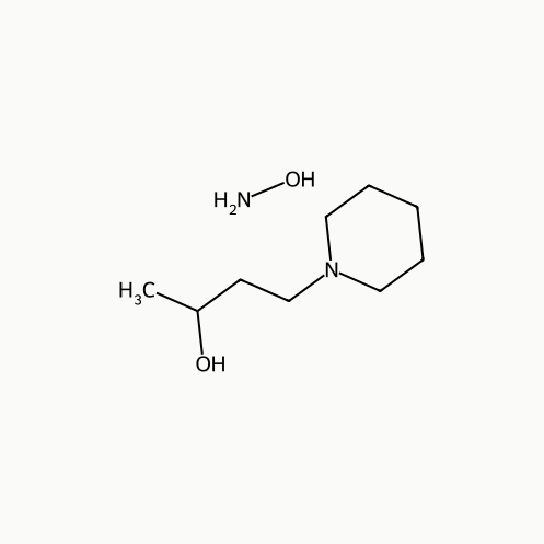 CC(O)CCN1CCCCC1.NO